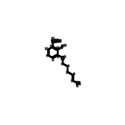 CCC=CCCCOc1cccc(NC)c1F